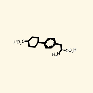 N[C@@H](Cc1ccc(C2CCC(C(=O)O)CC2)cc1)C(=O)O